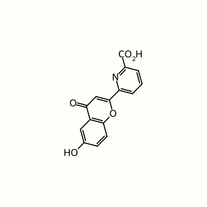 O=C(O)c1cccc(-c2cc(=O)c3cc(O)ccc3o2)n1